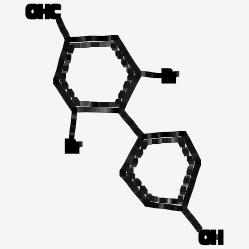 O=Cc1cc(Br)c(-c2ccc(O)cc2)c(Br)c1